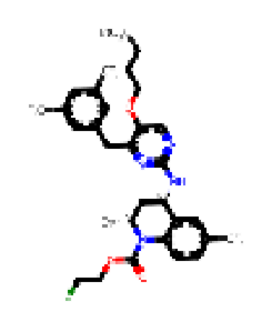 CCOC(=O)CCCOc1cnc(N[C@H]2C[C@@H](CC)N(C(=O)OCCF)c3ccc(C(F)(F)F)cc32)nc1Cc1cc(C(F)(F)F)cc(C(F)(F)F)c1